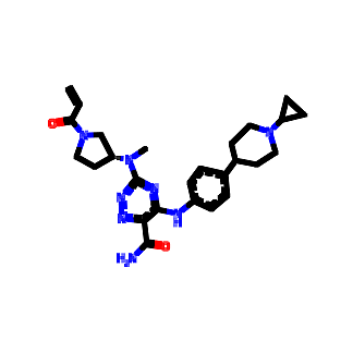 C=CC(=O)N1CC[C@@H](N(C)c2nnc(C(N)=O)c(Nc3ccc(C4CCN(C5CC5)CC4)cc3)n2)C1